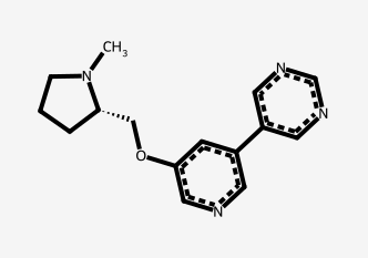 CN1CCC[C@H]1COc1cncc(-c2cncnc2)c1